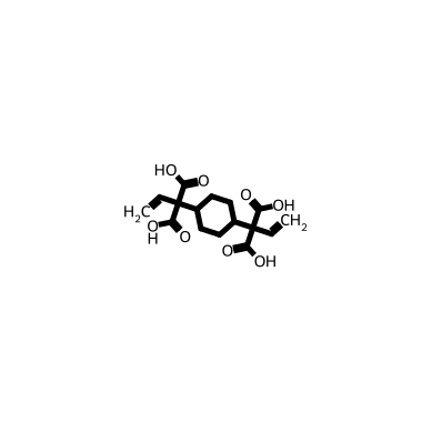 C=CC(C(=O)O)(C(=O)O)C1CCC(C(C=C)(C(=O)O)C(=O)O)CC1